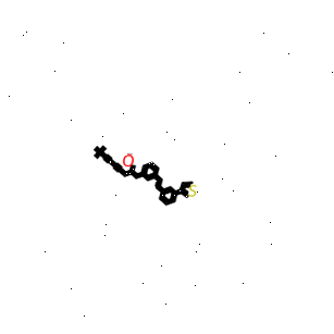 COCC(CC#CC#CC(C)(C)C)Cc1cccc(C=Cc2cccc(-c3ccsc3)c2)c1